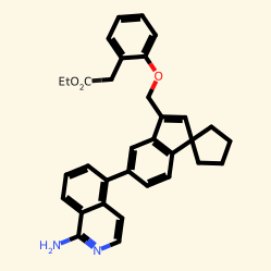 CCOC(=O)Cc1ccccc1OCC1=CC2(CCCC2)c2ccc(-c3cccc4c(N)nccc34)cc21